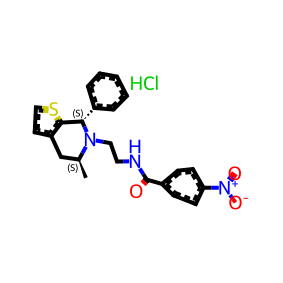 C[C@H]1Cc2ccsc2[C@H](c2ccccc2)N1CCNC(=O)c1ccc([N+](=O)[O-])cc1.Cl